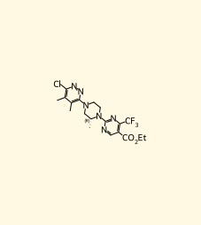 CCOC(=O)c1cnc(N2CCN(c3nnc(Cl)c(C)c3C)C[C@H]2C)nc1C(F)(F)F